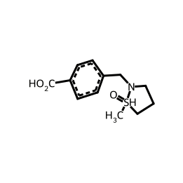 C[SH]1(=O)CCCN1Cc1ccc(C(=O)O)cc1